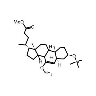 COC(=O)CCC(C)[C@H]1CC[C@H]2[C@@H]3C(O[SiH3])=C[C@@H]4C[C@H](O[Si](C)(C)C)CC[C@]4(C)[C@H]3CC[C@]12C